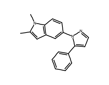 Cc1cc2cc(-n3nccc3-c3ccccc3)ccc2n1C